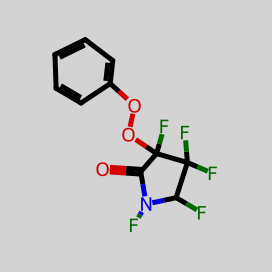 O=C1N(F)C(F)C(F)(F)C1(F)OOc1ccccc1